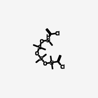 C=C(Cl)[SiH](C)O[Si](C)(C)O[Si](C)(C)O[Si](C)(C)C(=C)Cl